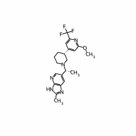 COc1cc([C@H]2CCCN([C@H](C)c3cnc4[nH]c(C)nc4c3)C2)cc(C(F)(F)F)n1